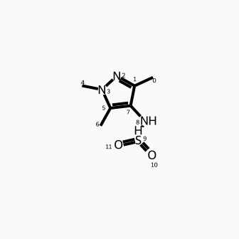 Cc1nn(C)c(C)c1N[SH](=O)=O